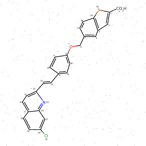 O=C(O)c1cc2cc(COc3ccc(C=Cc4ccc5ccc(Cl)cc5n4)cc3)ccc2s1